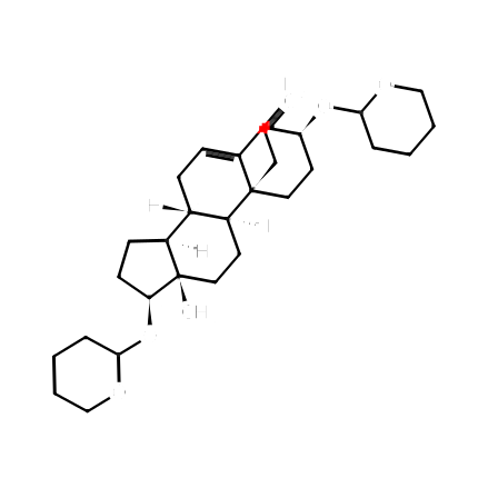 C=CC[C@]12CC[C@H](OC3CCCCO3)CC1=CC[C@@H]1[C@@H]2CC[C@]2(C)[C@@H](OC3CCCCO3)CC[C@@H]12